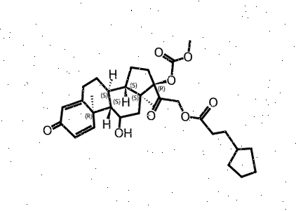 COC(=O)O[C@]1(C(=O)COC(=O)CCC2CCCC2)CC[C@H]2[C@@H]3CCC4=CC(=O)C=C[C@]4(C)[C@H]3C(O)C[C@@]21C